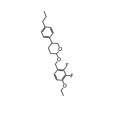 CCCc1ccc(C2CCC(OCc3ccc(OCC)c(F)c3F)OC2)cc1